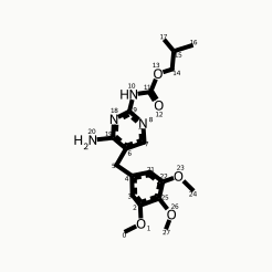 COc1cc(Cc2cnc(NC(=O)OCC(C)C)nc2N)cc(OC)c1OC